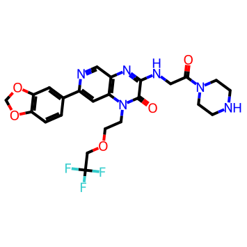 O=C(CNc1nc2cnc(-c3ccc4c(c3)OCO4)cc2n(CCOCC(F)(F)F)c1=O)N1CCNCC1